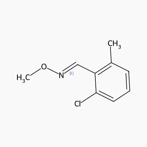 CO/N=C/c1c(C)cccc1Cl